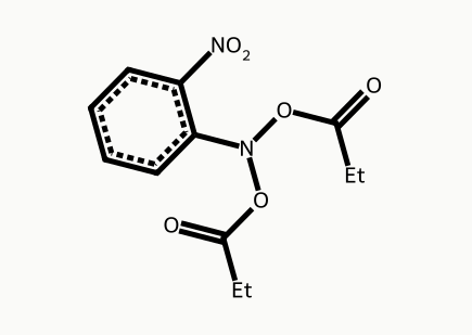 CCC(=O)ON(OC(=O)CC)c1ccccc1[N+](=O)[O-]